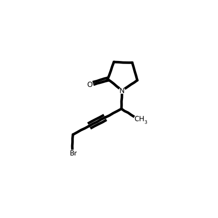 CC(C#CCBr)N1CCCC1=O